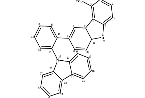 N#Cc1cccc2c1C1C=C(c3ccccc3-n3c4ccccc4c4ccccc43)C=CC1S2